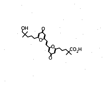 CC(C)(CO)CCCc1cc(=O)cc(C=Cc2cc(=O)cc(CCCC(C)(C)C(=O)O)o2)o1